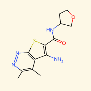 Cc1nnc2sc(C(=O)NC3CCOC3)c(N)c2c1C